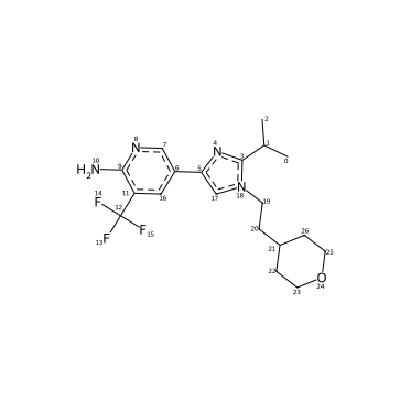 CC(C)c1nc(-c2cnc(N)c(C(F)(F)F)c2)cn1CCC1CCOCC1